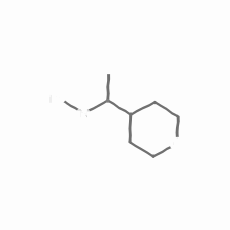 CC(C)NC(C)C1CCOCC1